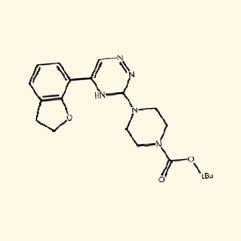 CC(C)(C)OC(=O)N1CCN(C2N=NC=C(c3cccc4c3OCC4)N2)CC1